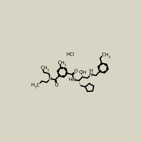 CCCN(CCC)C(=O)c1cc(C)cc(C(=O)N[C@@H](CC2CCCC2)[C@H](O)CNCc2cccc(CC)c2)c1.Cl